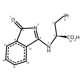 CC(C)C[C@H](NC1=NC(=O)c2ccccc21)C(=O)O